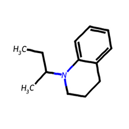 CCC(C)N1CCCc2ccccc21